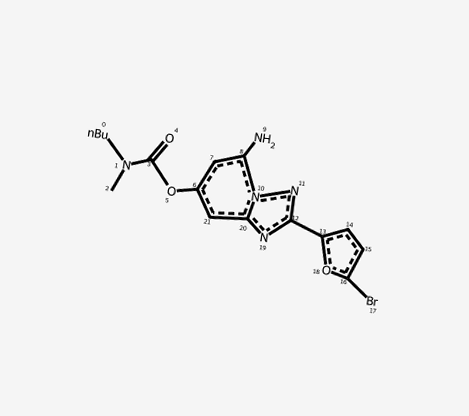 CCCCN(C)C(=O)Oc1cc(N)n2nc(-c3ccc(Br)o3)nc2c1